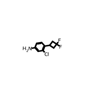 Nc1ccc(C2CC(F)(F)C2)c(Cl)c1